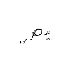 COC(=O)C1CC2CC(CCO)C1C2